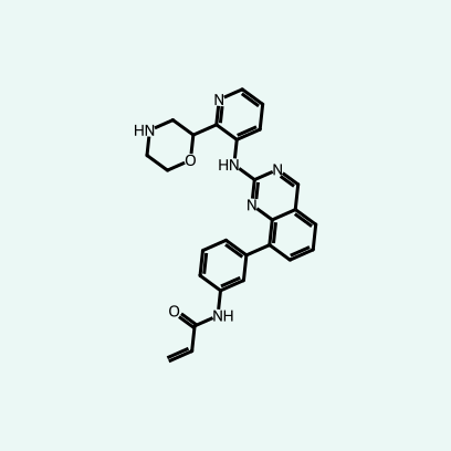 C=CC(=O)Nc1cccc(-c2cccc3cnc(Nc4cccnc4C4CNCCO4)nc23)c1